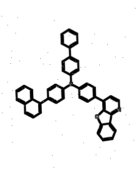 c1ccc(-c2ccc(N(c3ccc(-c4cccc5ccccc45)cc3)c3ccc(-c4ccnc5c4oc4ccccc45)cc3)cc2)cc1